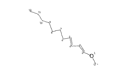 [CH2]O/C=C/C=C/CCCCCCC